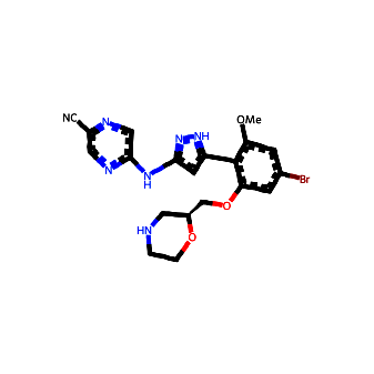 COc1cc(Br)cc(OC[C@@H]2CNCCO2)c1-c1cc(Nc2cnc(C#N)cn2)n[nH]1